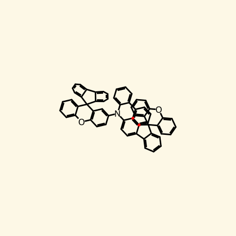 c1ccc(-c2ccccc2N(c2ccc3c(c2)C2(c4ccccc4O3)c3ccccc3-c3ccccc32)c2ccc3c(c2)C2(c4ccccc4Oc4ccccc42)c2ccccc2-3)cc1